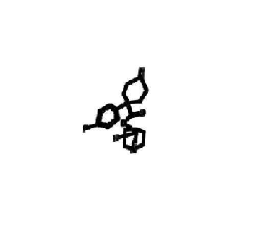 O=C(O[C@H]1CN2CCC1CC2)C1(c2ccc(F)cc2)CCNCC1